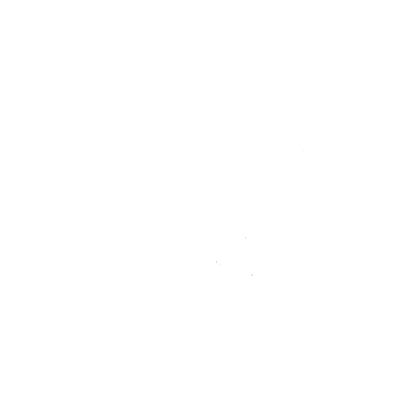 c1ccc(-c2nc(-c3cccc(-c4ccc5oc6ccccc6c5c4)c3)nc(-c3cc(-c4ccc5oc6ccccc6c5c4)cc(-c4ccc5oc6ccccc6c5c4)c3)n2)cc1